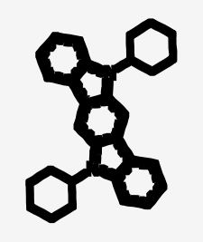 c1ccc2c(c1)c1cc3c(cc1n2C1CCCCC1)c1ccccc1n3C1CCCCC1